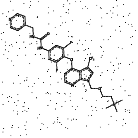 C[Si](C)(C)CCOCn1cc(C(F)(F)F)c2c(Oc3c(F)cc(NC(=O)NCc4ccncc4)cc3F)ccnc21